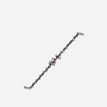 COCCOCCOCCOCCOCCOCCOCCOCCOCCOCCOCCOCCC(=O)NCCNCCC(=O)NCCNC(=O)CCOCCOCCOCCOCCOCCOCCOCCOCCOCCOCCOCCOC